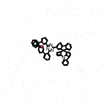 c1ccc(-c2ccc(-c3ccccc3-c3nc(-c4ccc5c(c4)C4(c6ccccc6-5)c5ccccc5-n5c6ccccc6c6cccc4c65)nc(-c4cccc5c4oc4ccccc45)n3)cc2)cc1